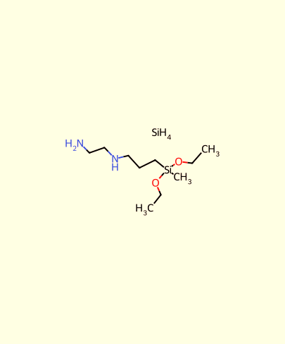 CCO[Si](C)(CCCNCCN)OCC.[SiH4]